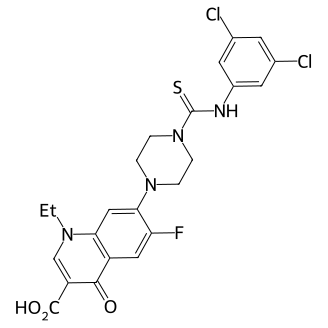 CCn1cc(C(=O)O)c(=O)c2cc(F)c(N3CCN(C(=S)Nc4cc(Cl)cc(Cl)c4)CC3)cc21